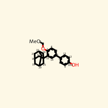 COCOc1ccc(-c2ccc(O)cc2)cc1C12CC3CC(CC(C3)C1)C2